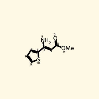 COC(=O)C=C(N)c1cccs1